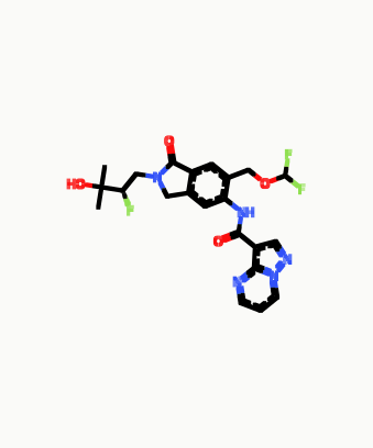 CC(C)(O)[C@H](F)CN1Cc2cc(NC(=O)c3cnn4cccnc34)c(COC(F)F)cc2C1=O